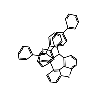 c1ccc(-c2ccc(-c3nc(-c4ccccc4)nc(-c4cccc5oc6cccc(C7c8ccccc8-c8ccccc87)c6c45)n3)cc2)cc1